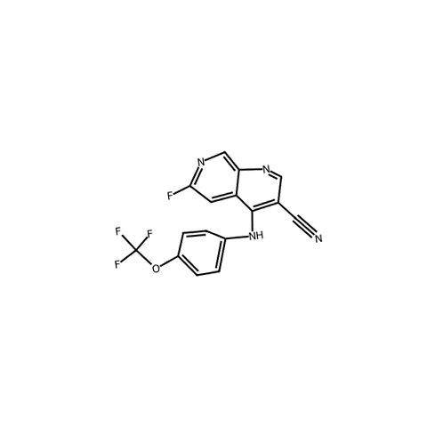 N#Cc1cnc2cnc(F)cc2c1Nc1ccc(OC(F)(F)F)cc1